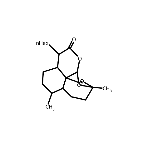 CCCCCCC1C(=O)OC2OC3(C)CCC4C(C)CCC1C24OO3